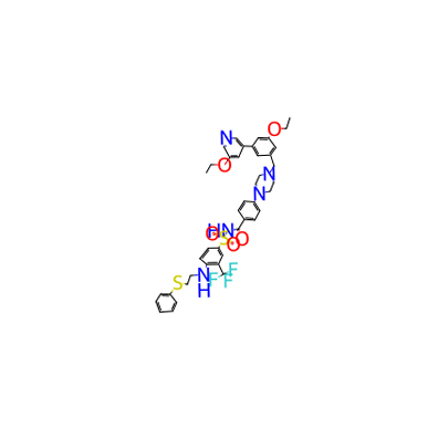 CCOc1cncc(-c2cc(CN3CCN(c4ccc(C(=O)NS(=O)(=O)c5ccc(NCCSc6ccccc6)c(C(F)(F)F)c5)cc4)CC3)cc(OCC)c2)c1